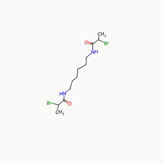 CC(Br)C(=O)NCCCCCCNC(=O)C(C)Br